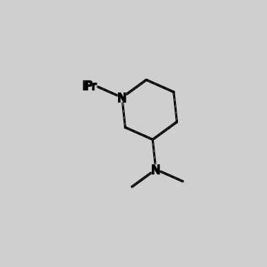 CC(C)N1CCCC(N(C)C)C1